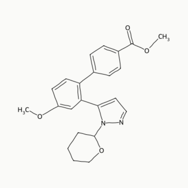 COC(=O)c1ccc(-c2ccc(OC)cc2-c2ccnn2C2CCCCO2)cc1